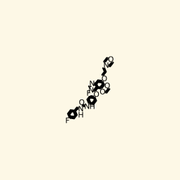 O=C(NCc1ccc(F)cc1)Nc1ccc(Oc2ncnc3cc(OCCCN4CCOCC4)c4c(c23)OCCO4)c(F)c1